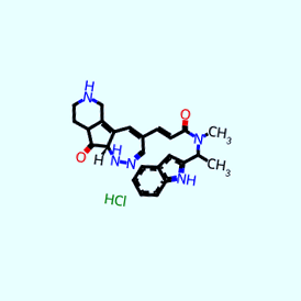 CC(c1cc2ccccc2[nH]1)N(C)C(=O)/C=C/C1=CC2=C3CNCCC3C(=O)[C@H]2NN=C1.Cl